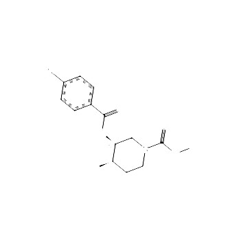 CC(C)(C)OC(=O)N1CC[C@@H](F)[C@@H](OC(=O)c2ccc([N+](=O)[O-])cc2)C1